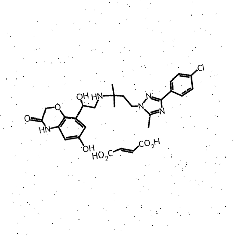 Cc1nc(-c2ccc(Cl)cc2)nn1CCC(C)(C)NC[C@H](O)c1cc(O)cc2c1OCC(=O)N2.O=C(O)C=CC(=O)O